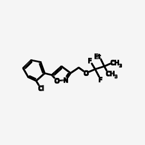 CCC(C)(C)C(F)(F)OCc1cc(-c2ccccc2Cl)on1